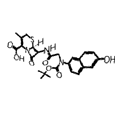 CC1=C(C(=O)O)N2C(=O)C(NC(=O)CN(C(=O)OC(C)(C)C)c3ccc4cc(O)ccc4c3)[C@@H]2SC1